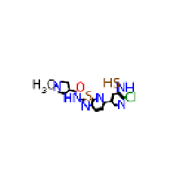 CN1CCC(C(=O)Nc2nc3ccc(-c4cnc(Cl)c(NS)c4)nc3s2)CC1